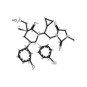 CN1CC(=O)N(CC(C2CC2)N2C(=O)[C@@](C)(CC(=O)O)C[C@H](c3cccc(Cl)c3)[C@H]2c2ccc(Cl)cc2)C1=O